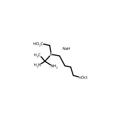 CCCCCCCCCCCCN(CC(=O)O)C(C)(N)N.[NaH]